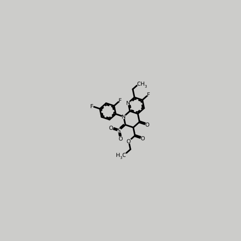 CCOC(=O)C1C(=O)c2cc(F)c(CC)nc2N(c2ccc(F)cc2F)C1=S(=O)=O